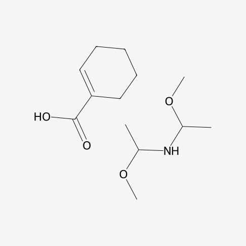 COC(C)NC(C)OC.O=C(O)C1=CCCCC1